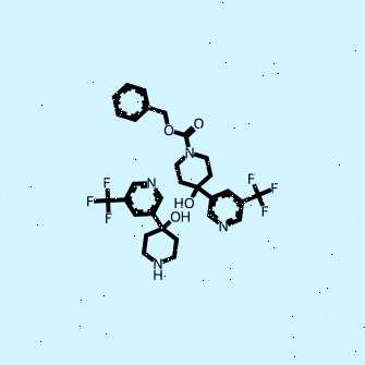 O=C(OCc1ccccc1)N1CCC(O)(c2cncc(C(F)(F)F)c2)CC1.OC1(c2cncc(C(F)(F)F)c2)CCNCC1